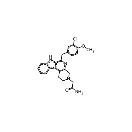 COc1ccc(Cc2nc3c(c4c2[nH]c2ccccc24)CCN(CC(N)=O)C3)cc1Cl